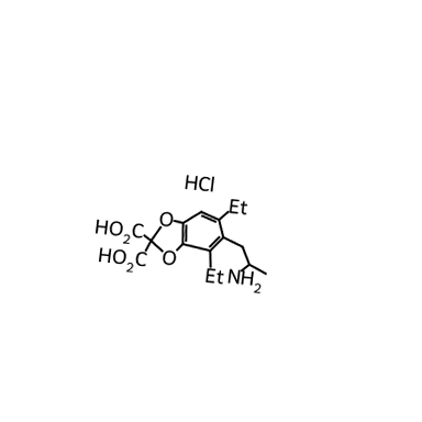 CCc1cc2c(c(CC)c1CC(C)N)OC(C(=O)O)(C(=O)O)O2.Cl